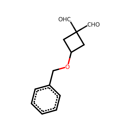 O=CC1(C=O)CC(OCc2ccccc2)C1